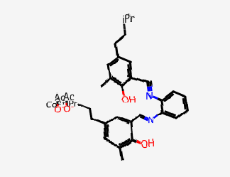 CC(=O)[O-].CC(=O)[O-].Cc1cc(CCC(C)C)cc(C=Nc2ccccc2N=Cc2cc(CCC(C)C)cc(C)c2O)c1O.[Co+2]